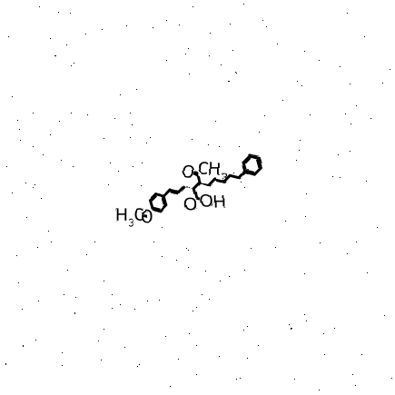 COc1ccc(/C=C/C[C@@H](C(=O)O)[C@H](CCCCCc2ccccc2)C(C)=O)cc1